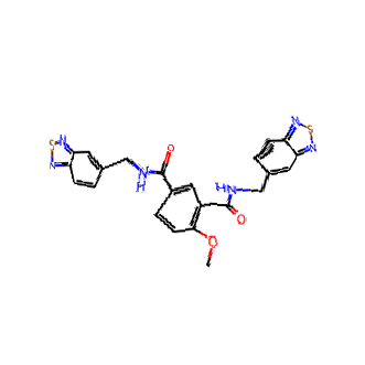 COc1ccc(C(=O)NCc2ccc3nsnc3c2)cc1C(=O)NCc1ccc2nsnc2c1